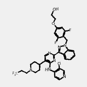 OCCOc1cc(F)c(Cn2nc(-c3ncc(C4CCN(CCC(F)(F)F)CC4)c(Nc4ccncc4Cl)n3)c3ccccc32)c(F)c1